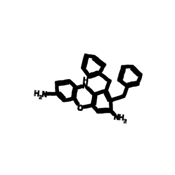 Nc1ccc2c(c1)Oc1cc(N)c(Cc3ccccc3)c(Cc3ccccc3)c1N2